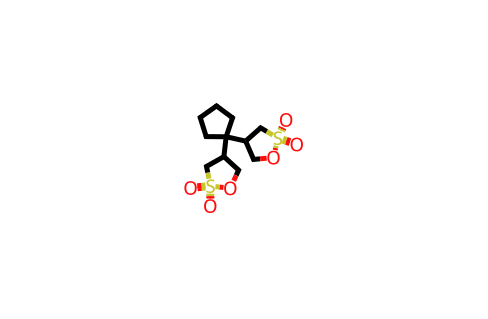 O=S1(=O)CC(C2(C3COS(=O)(=O)C3)CCCC2)CO1